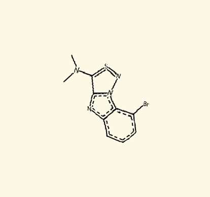 CN(C)C1=S=Nn2c1nc1cccc(Br)c12